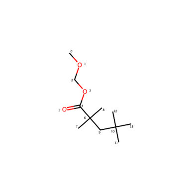 COCOC(=O)C(C)(C)CC(C)(C)C